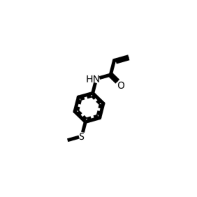 C=CC(=O)Nc1ccc(SC)cc1